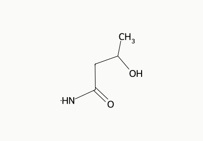 CC(O)CC([NH])=O